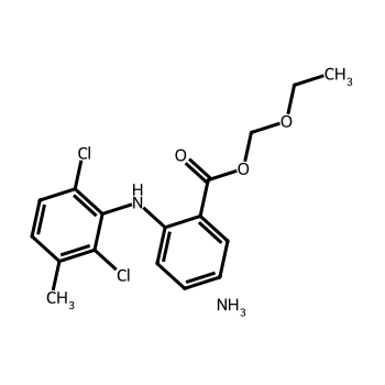 CCOCOC(=O)c1ccccc1Nc1c(Cl)ccc(C)c1Cl.N